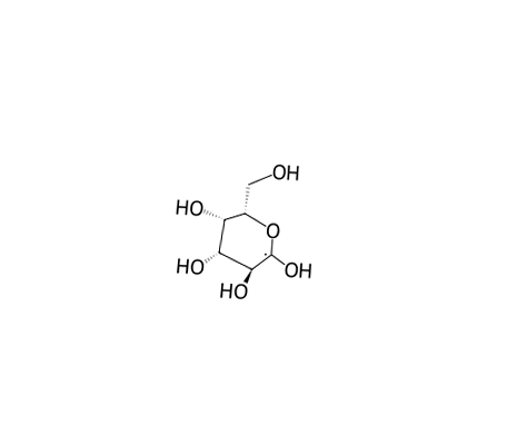 OC[C@@H]1O[C](O)[C@@H](O)[C@H](O)[C@@H]1O